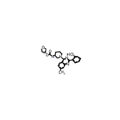 Cc1ccc2c(N3CCC/C(=N\C(=O)O[C@H]4CCOC4)C3)nc(-c3ccccc3O)nc2c1